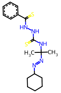 CC(C)(N=NC1CCCCC1)NC(=S)NNC(=S)c1ccccc1